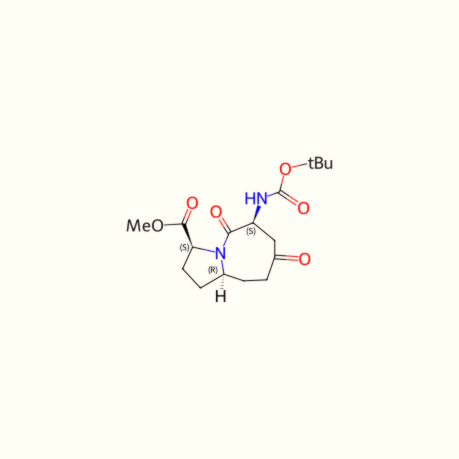 COC(=O)[C@@H]1CC[C@@H]2CCC(=O)C[C@H](NC(=O)OC(C)(C)C)C(=O)N21